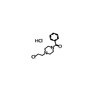 Cl.O=C(c1ccccc1)N1CCN(CCCl)CC1